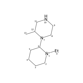 CC[N+]1CCCCC1N1CCNCC1C